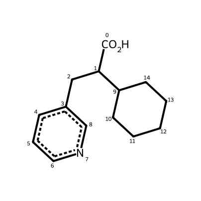 O=C(O)C(Cc1cccnc1)C1CCCCC1